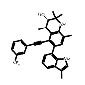 Cc1cc(-c2cccc3c(C)c[nH]c23)c(C#Cc2cccc(C(F)(F)F)c2)c2c1NC(C)(C)[C@@H](O)[C@@H]2C